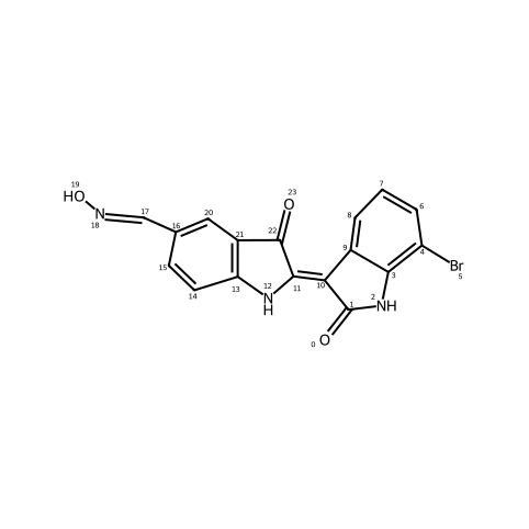 O=C1Nc2c(Br)cccc2/C1=C1/Nc2ccc(/C=N/O)cc2C1=O